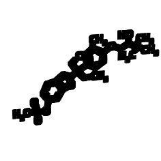 CCC(CC)(c1ccc(OCC(O)C(C)(C)C)c(C)c1)c1cc2ccc(OS(C)(=O)=O)cc2o1